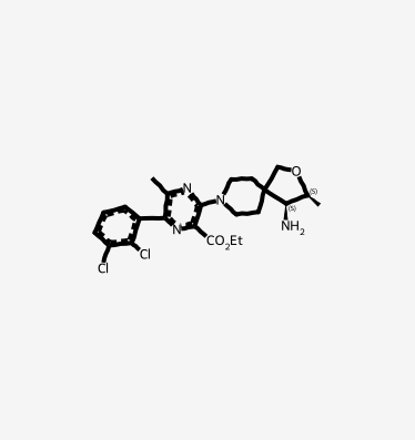 CCOC(=O)c1nc(-c2cccc(Cl)c2Cl)c(C)nc1N1CCC2(CC1)CO[C@@H](C)[C@H]2N